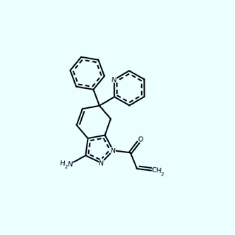 C=CC(=O)n1nc(N)c2c1CC(c1ccccc1)(c1ccccn1)C=C2